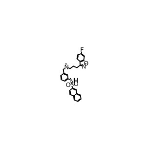 CN(CCCc1noc2cc(F)ccc12)Cc1cccc(NS(=O)(=O)c2ccc3ccccc3c2)c1